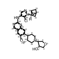 O[C@@H]1COCC1N1CCC(c2cc3nc(Nc4cnn([C@@H]5CC6CC5C6)c4Cl)ncc3cc2Cl)[C@@H](F)C1